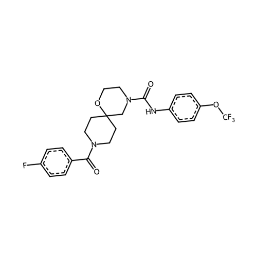 O=C(Nc1ccc(OC(F)(F)F)cc1)N1CCOC2(CCN(C(=O)c3ccc(F)cc3)CC2)C1